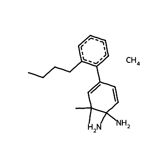 C.CCCCc1ccccc1C1=CC(C)(C)C(N)(N)C=C1